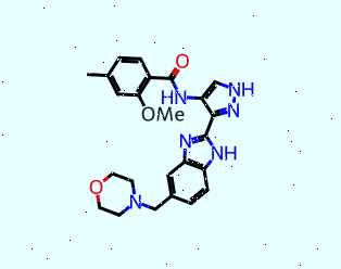 COc1cc(C)ccc1C(=O)Nc1c[nH]nc1-c1nc2cc(CN3CCOCC3)ccc2[nH]1